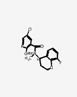 COc1ncc(Cl)cc1C(=O)N(C)[C@@H]1CCOc2c(F)cccc21